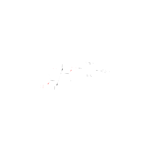 O=[N+]([O-])c1ccc(O[C@H]2CO[C@H]3[C@@H]2OC[C@@H]3O)cc1